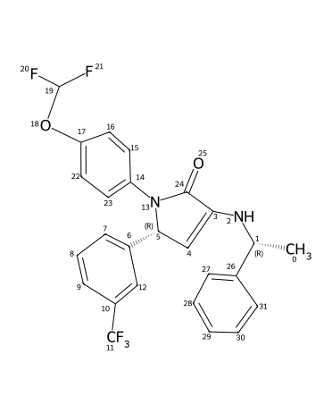 C[C@@H](NC1=C[C@H](c2cccc(C(F)(F)F)c2)N(c2ccc(OC(F)F)cc2)C1=O)c1ccccc1